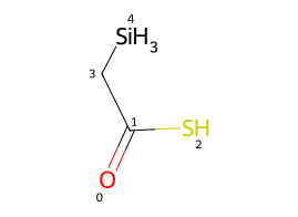 O=C(S)C[SiH3]